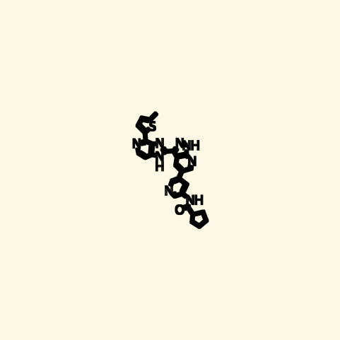 Cc1ccc(-c2nccc3[nH]c(-c4n[nH]c5ncc(-c6cncc(NC(=O)C7CCCC7)c6)cc45)nc23)s1